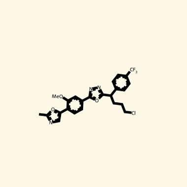 COc1cc(-c2nnc(C(CCCCl)c3ccc(C(F)(F)F)cc3)o2)ccc1-c1cnc(C)o1